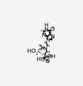 CC(C(=O)O)N(CCn1cnc2c(=O)[nH]cnc21)CCP(=O)(O)O